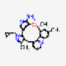 Cc1ccc2c(c1)[C@@H](C)Oc1cc(cnc1N)-c1c(c(C)nn1CC1CC1)Cc1cccnc1-2